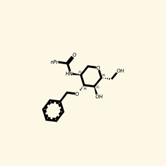 CCCC(=O)N[C@H]1CO[C@H](CO)[C@@H](O)[C@@H]1OCc1ccccc1